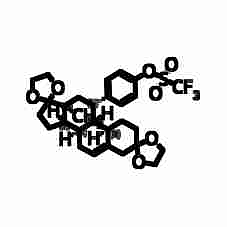 C[C@]12C[C@H](c3ccc(OS(=O)(=O)C(F)(F)F)cc3)[C@H]3[C@@H](CC=C4CC5(CC[C@@H]43)OCCO5)[C@@H]1CCC21OCCO1